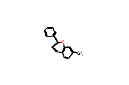 Cc1ccc2c(c1)OC(c1ccccc1)C=C2